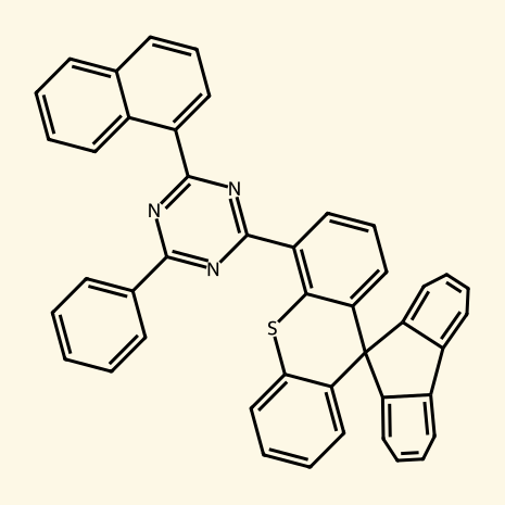 c1ccc(-c2nc(-c3cccc4c3Sc3ccccc3C43c4ccccc4-c4ccccc43)nc(-c3cccc4ccccc34)n2)cc1